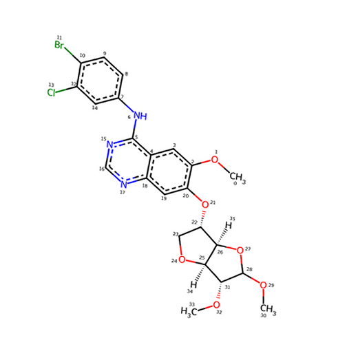 COc1cc2c(Nc3ccc(Br)c(Cl)c3)ncnc2cc1O[C@H]1CO[C@H]2[C@@H]1OC(OC)[C@@H]2OC